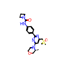 C=S(C)(=O)Cc1cc(N2CCOC[C@@H]2C)nc(-c2ccc(NC(=O)N3CCC3)cc2)n1